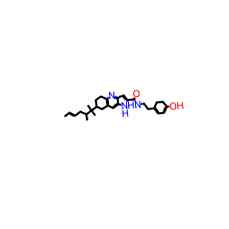 C/C=C/CC(C)C(C)(C)C1CCc2nc3cc(C(=O)NCCC4=CC=C(O)CC4)[nH]c3cc2C1